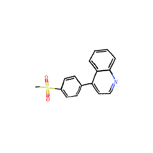 CS(=O)(=O)c1ccc(-c2ccnc3ccccc23)cc1